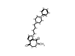 CN1CCC(=O)c2ccn(CCCCN3CCN(c4ccccc4)CC3)c2C1=O